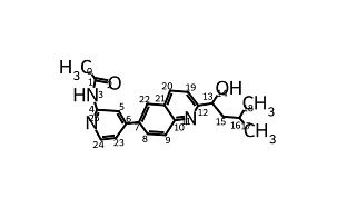 CC(=O)Nc1cc(-c2ccc3nc(C(O)CC(C)C)ccc3c2)ccn1